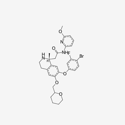 COc1cccc(NC(=O)C[C@@]2(C)NCCc3cc(OCC4CCCCO4)c(Oc4ccc(Br)c(F)c4)cc32)n1